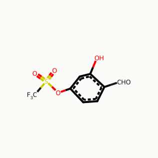 O=Cc1ccc(OS(=O)(=O)C(F)(F)F)cc1O